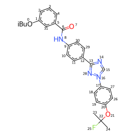 CC(C)COc1cccc(C(=O)Nc2ccc(-c3ncn(-c4ccc(OC(C)(C)F)cc4)n3)cc2)c1